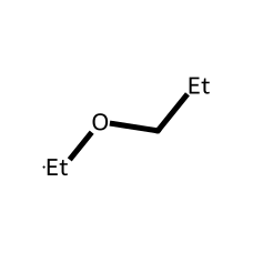 [CH2]CCO[CH]C